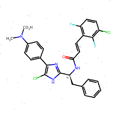 CN(C(=O)O)c1ccc(-c2nc([C@H](Cc3ccccc3)NC(=O)/C=C/c3c(F)ccc(Cl)c3F)[nH]c2Cl)cc1